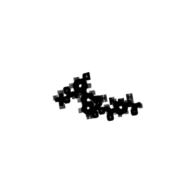 CC(=O)Nc1ccc(C(=O)COC(=O)C2(O)CCc3cc(-c4cc(Cl)ccc4NC(=O)OC(C)(C)C)c[n+](O)c32)c(F)n1